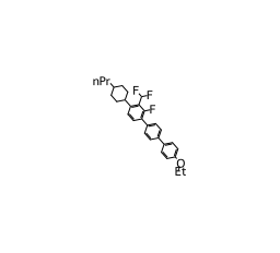 CCCC1CCC(c2ccc(-c3ccc(-c4ccc(OCC)cc4)cc3)c(F)c2C(F)F)CC1